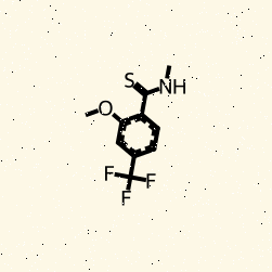 CNC(=S)c1ccc(C(F)(F)F)cc1OC